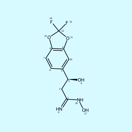 N=C(C[C@H](O)c1ccc2c(c1)OC(F)(F)O2)NO